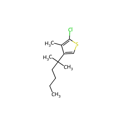 CCCCC(C)(C)c1csc(Cl)c1C